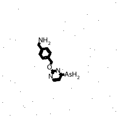 NCc1ccc(COc2nccc([AsH2])n2)cc1